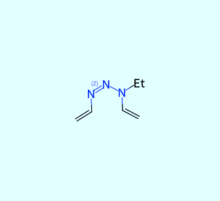 C=C/N=N\N(C=C)CC